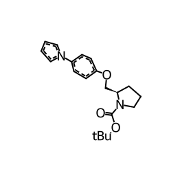 CC(C)(C)OC(=O)N1CCC[C@@H]1COc1ccc(-n2cccc2)cc1